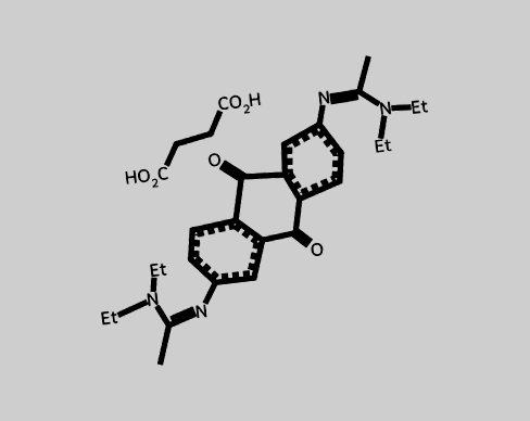 CCN(CC)C(C)=Nc1ccc2c(c1)C(=O)c1ccc(N=C(C)N(CC)CC)cc1C2=O.O=C(O)CCC(=O)O